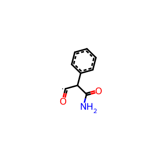 NC(=O)C([C]=O)c1ccccc1